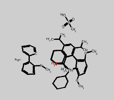 COc1ccc(OC)c([PH+](C2CCCCC2)C2CCCCC2)c1-c1c(C(C)C)cc(C(C)C)cc1C(C)C.CS(=O)(=O)O.C[N-]c1ccccc1-c1[c-]cccc1.[Pd+2]